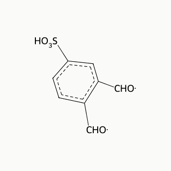 O=[C]c1ccc(S(=O)(=O)O)cc1[C]=O